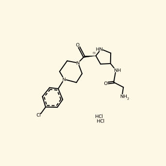 Cl.Cl.NCC(=O)NC1CN[C@H](C(=O)N2CCN(c3ccc(Cl)cc3)CC2)C1